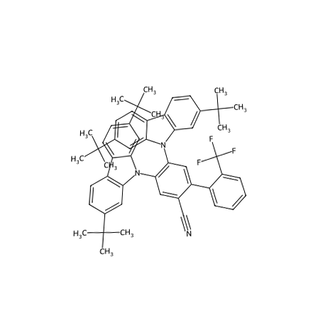 CC(C)(C)c1ccc2c3ccc(C(C)(C)C)cc3n(-c3cc(C#N)c(-c4ccccc4C(F)(F)F)cc3-n3c4cc(C(C)(C)C)ccc4c4ccc(C(C)(C)C)cc43)c2c1